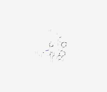 C=C/C=C(/c1ccoc1)c1nc(-c2n[nH]c3ccc(-c4cccc(NC(=O)CCC)c4)nc23)[nH]c1C